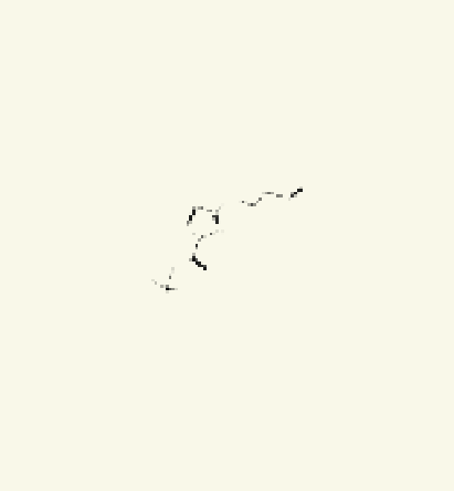 C=CCCOc1ccn(C(=O)OC(C)(C)C)n1